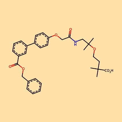 CC(C)(CNC(=O)COc1ccc(-c2cccc(C(=O)OCc3ccccc3)c2)cc1)OCCC(C)(C)C(=O)O